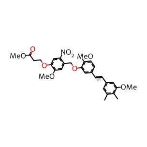 COC(=O)CCOc1cc([N+](=O)[O-])c(COc2cc(/C=C/c3cc(C)c(C)c(OC)c3)ccc2OC)cc1OC